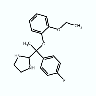 CCOc1ccccc1OC(C)(c1ccc(F)cc1)C1NCCN1